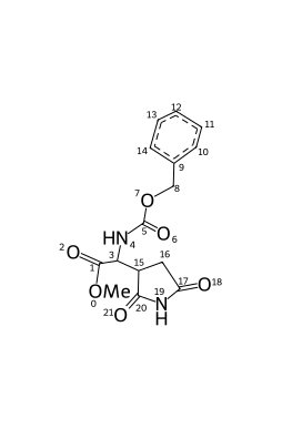 COC(=O)C(NC(=O)OCc1ccccc1)C1CC(=O)NC1=O